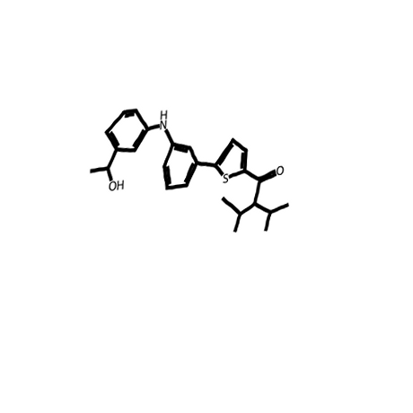 CC(O)c1cccc(Nc2cccc(-c3ccc(C(=O)C(C(C)C)C(C)C)s3)c2)c1